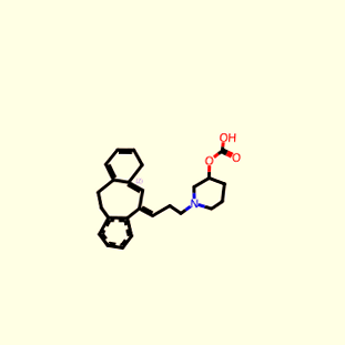 O=C(O)OC1CCCN(CCC=C2/C=C3/CC=CC=C3CCc3ccccc32)C1